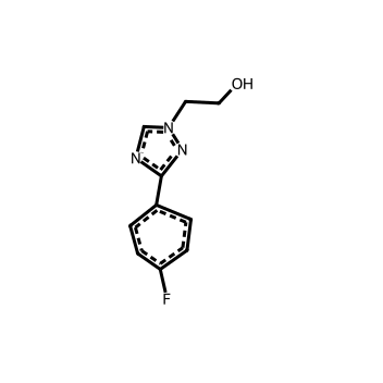 OCCn1cnc(-c2ccc(F)cc2)n1